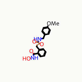 COc1ccc(CNS(=O)(=O)Cc2ccccc2C(=O)NO)cc1